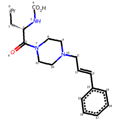 CC(C)C[C@H](NC(=O)O)C(=O)N1CCN(CC=Cc2ccccc2)CC1